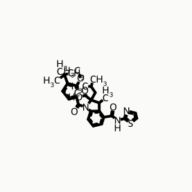 COc1cc(C(=O)N2c3cccc(C(=O)Nc4nccs4)c3C(C)C2(CC(C)C)C(=O)O)ccc1C(C)(C)C